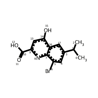 CC(C)c1cc(Br)c2nc(C(=O)O)cc(O)c2c1